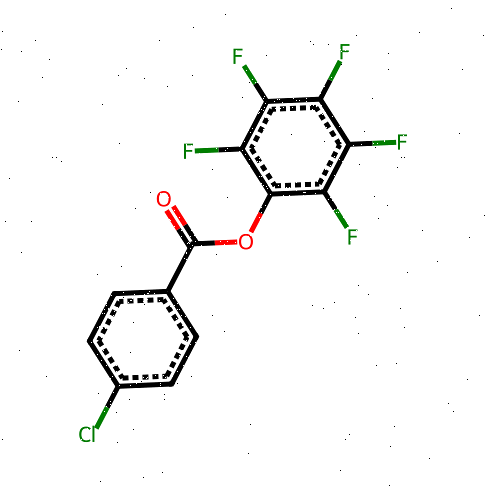 O=C(Oc1c(F)c(F)c(F)c(F)c1F)c1ccc(Cl)cc1